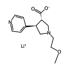 COCCN1C[C@@H](C(=O)[O-])[C@H](c2ccncc2)C1.[Li+]